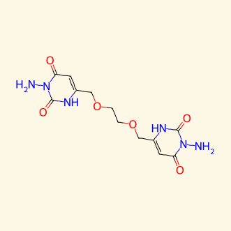 Nn1c(=O)cc(COCCOCc2cc(=O)n(N)c(=O)[nH]2)[nH]c1=O